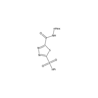 CCCCCCNC(=O)c1nnc(S(=O)(=O)CCC)s1